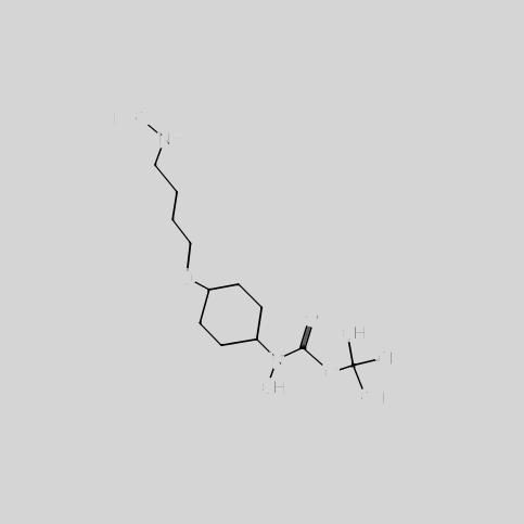 CNCCCCOC1CCC(N(C)C(=O)OC(C)(C)C)CC1